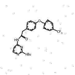 CCCCc1nccc(NC(=O)Cc2ccc(Oc3ccc(C(F)(F)F)cc3)cc2)n1